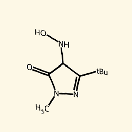 CN1N=C(C(C)(C)C)C(NO)C1=O